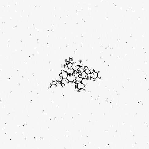 CCCNC(=O)C(=O)C(CC1CC1)NC(=O)[C@@H]1[C@H]2C[C@H]2CN1C(=O)[C@@H](NC(=O)[C@@H](NC(=O)c1cnccn1)C1(C)CCCCC1)C(C)(C)C